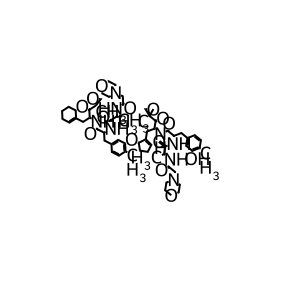 Cc1ccc(CC(NC(=O)C(C)NC(=O)CN2CCOCC2)C(=O)NC(CC2=CCCC2Oc2cc(CC(NC(=O)C(C)NC(=O)CN3CCOCC3)C(=O)NC(CC3=CCCCC3)C(=O)C3(C)CO3)ccc2C)C(=O)C2(C)CO2)cc1O